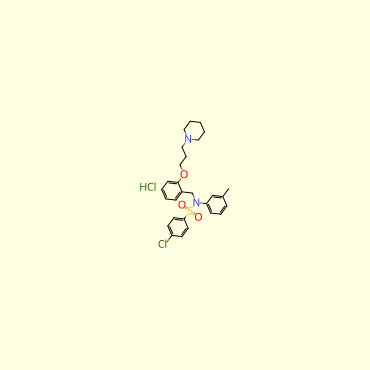 Cc1cccc(N(Cc2ccccc2OCCCN2CCCCC2)S(=O)(=O)c2ccc(Cl)cc2)c1.Cl